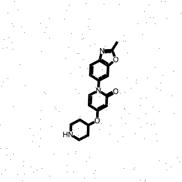 Cc1nc2ccc(-n3ccc(OC4CCNCC4)cc3=O)cc2o1